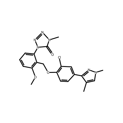 COc1cccc(-n2nnn(C)c2=O)c1COc1ccc(-c2nn(C)cc2C)cc1Cl